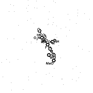 COc1ccc(CN2CCN(C3CC4(CCN(c5cc(Oc6cnc7[nH]ccc7c6)c(C(=O)NS(=O)(=O)c6cc([N+](=O)[O-])c(NCC7CCOCC7)c7c6OCCO7)cc5F)CC4)C3)[C@H](c3ccccc3C(C)C)C2)cc1